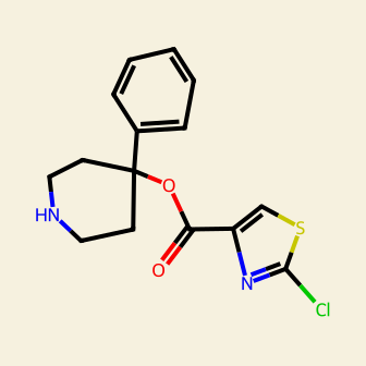 O=C(OC1(c2ccccc2)CCNCC1)c1csc(Cl)n1